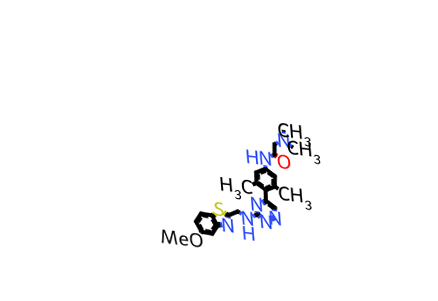 COc1ccc2sc(CNc3nncc(-c4c(C)cc(NC(=O)CN(C)C)cc4C)n3)nc2c1